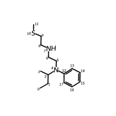 CCC(C)N(CCNCCSC)c1ccccc1